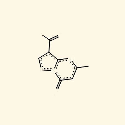 Cc1cc(=O)n2ncc(C(=O)O)c2[nH]1